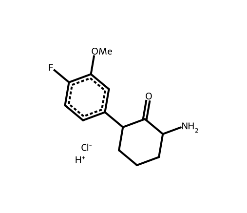 COc1cc(C2CCCC(N)C2=O)ccc1F.[Cl-].[H+]